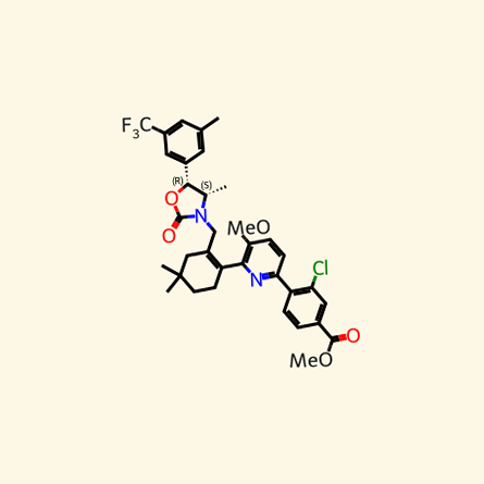 COC(=O)c1ccc(-c2ccc(OC)c(C3=C(CN4C(=O)O[C@H](c5cc(C)cc(C(F)(F)F)c5)[C@@H]4C)CC(C)(C)CC3)n2)c(Cl)c1